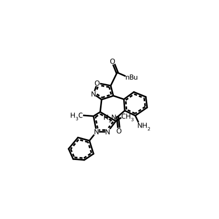 CCCCC(=O)c1onc(-c2c(C)nn(-c3ccccc3)c2C)c1-c1cccc(N)c1C(N)=O